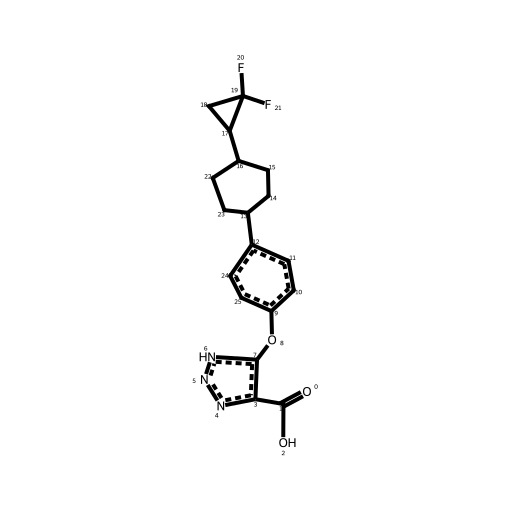 O=C(O)c1nn[nH]c1Oc1ccc(C2CCC(C3CC3(F)F)CC2)cc1